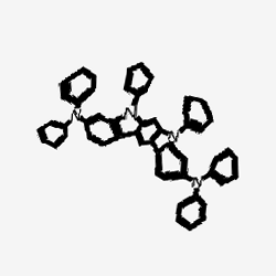 c1ccc(N(c2ccccc2)c2ccc3c4cc5c6ccc(N(c7ccccc7)c7ccccc7)cc6n(-c6ccccc6)c5cc4n(-c4ccccc4)c3c2)cc1